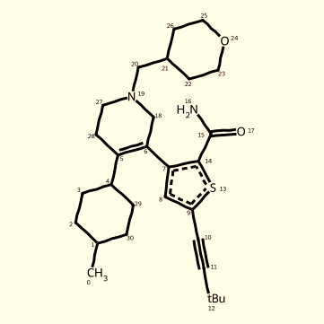 CC1CCC(C2=C(c3cc(C#CC(C)(C)C)sc3C(N)=O)CN(CC3CCOCC3)CC2)CC1